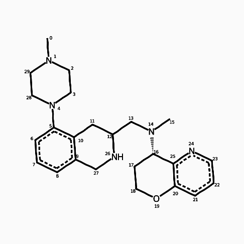 CN1CCN(c2cccc3c2CC(CN(C)[C@H]2CCOc4cccnc42)NC3)CC1